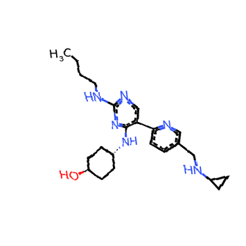 CCCCNc1ncc(-c2ccc(CNC3CC3)cn2)c(N[C@H]2CC[C@H](O)CC2)n1